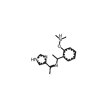 CC(=NC(C)c1ccccc1O[SiH](C)C)c1c[nH]cn1